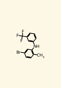 Cc1ccc(Br)cc1Nc1cccc(C(F)(F)F)c1